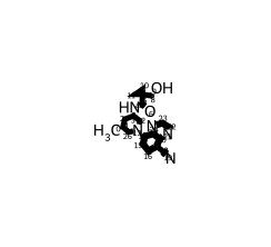 C[C@H]1C[C@@H](NC(=O)C2(CO)CC2)CN(c2ccc(C#N)c3nccnc23)C1